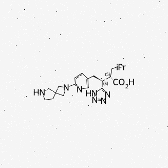 CC(C)C[C@H](C(=O)O)[C@H](Cc1ccc(N2CC3(CCNC3)C2)nc1)c1nnn[nH]1